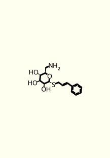 NC[C@H]1O[C@H](SC/C=C/c2ccccc2)[C@@H](O)[C@@H](O)[C@@H]1O